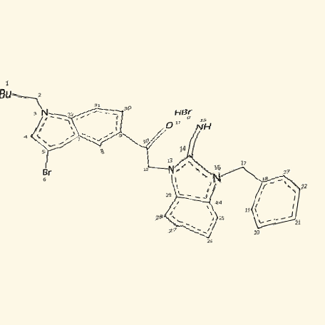 Br.CC(C)(C)Cn1cc(Br)c2cc(C(=O)Cn3c(=N)n(Cc4ccccc4)c4ccccc43)ccc21